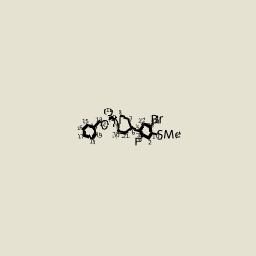 CSc1cc(F)c(C2CCN(C(=O)OCc3ccccc3)CC2)cc1Br